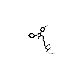 COOC(=O)CC(=O)CC/C=C/c1c(-c2ccc(F)cc2)cn(-c2ccccc2)c1C